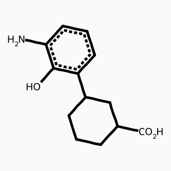 Nc1cccc(C2CCCC(C(=O)O)C2)c1O